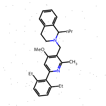 CCCC1c2ccccc2CCN1Cc1c(OC)cc(-c2c(CC)cccc2CC)nc1C